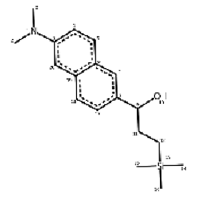 CN(C)c1ccc2cc(C(O)CC[Si](C)(C)C)ccc2c1